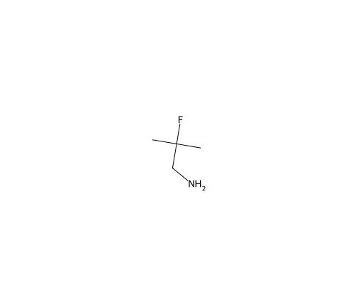 CC(C)(F)CN